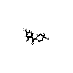 Cc1cc(Cl)ncc1C(=O)N1CCC(C)(O)CC1